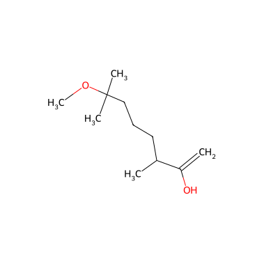 C=C(O)C(C)CCCC(C)(C)OC